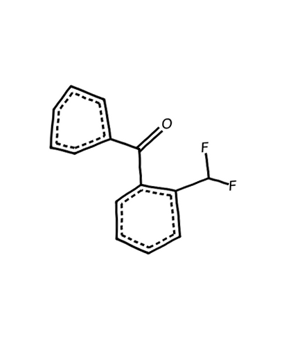 O=C(c1ccccc1)c1ccccc1C(F)F